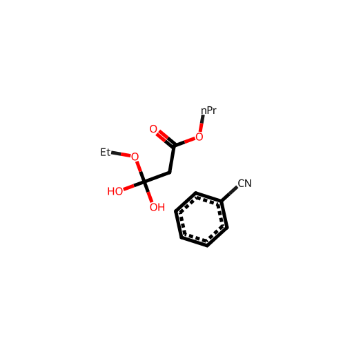 CCCOC(=O)CC(O)(O)OCC.N#Cc1ccccc1